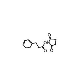 O=C(CCC1=CC=CCC1)ON1C(=O)CCC1=O